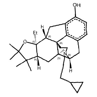 CC[C@@]12OC(C)(C)C(C)(C)[C@H]1C[C@]1(C)[C@H]3Cc4ccc(O)c5c4[C@@]1(CCN3CC1CC1)[C@H]2C5